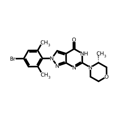 Cc1cc(Br)cc(C)c1-n1cc2c(=O)[nH]c(N3CCOC[C@H]3C)nc2n1